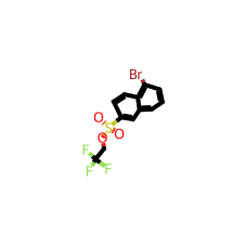 O=S(=O)(OCC(F)(F)F)c1ccc2c(Br)cccc2c1